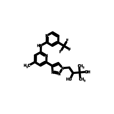 Cc1cc(Nc2cc(C(F)(F)F)ccn2)nc(-c2cn(CC(O)C(C)(C)O)nn2)c1